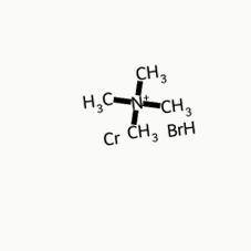 Br.C[N+](C)(C)C.[Cr]